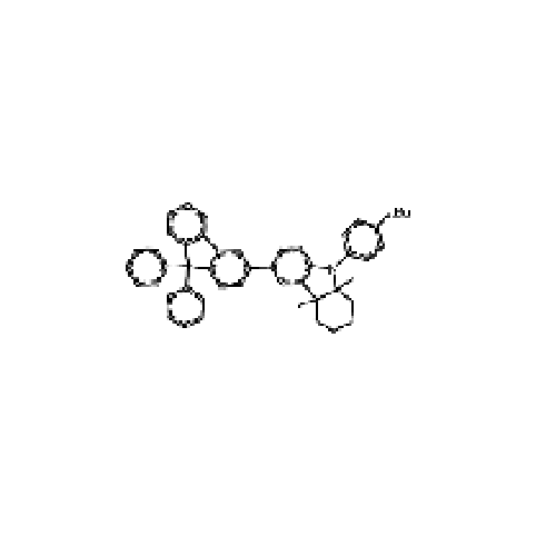 CC(C)(C)c1ccc(N2c3ccc(-c4ccc5c(c4)-c4ccccc4C5(c4ccccc4)c4ccccc4)cc3C3(C)CCCCC23C)cc1